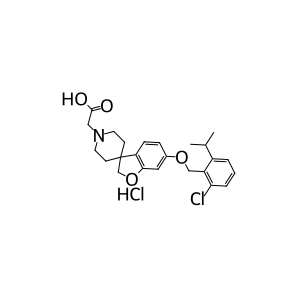 CC(C)c1cccc(Cl)c1COc1ccc2c(c1)OCC21CCN(CC(=O)O)CC1.Cl